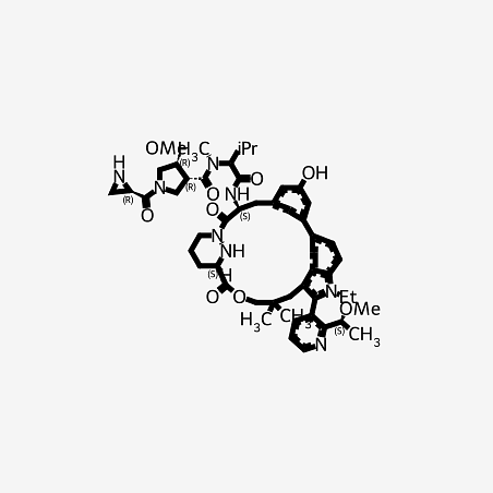 CCn1c(-c2cccnc2[C@H](C)OC)c2c3cc(ccc31)-c1cc(O)cc(c1)C[C@H](NC(=O)C(C(C)C)N(C)C(=O)[C@@H]1CN(C(=O)[C@H]3CN3)C[C@@H]1OC)C(=O)N1CCC[C@H](N1)C(=O)OCC(C)(C)C2